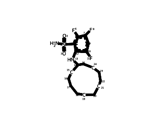 NS(=O)(=O)c1c(F)c(F)cc(F)c1NC1CCCCCCCCCCC1